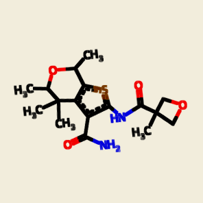 CC1OC(C)C(C)(C)c2c1sc(NC(=O)C1(C)COC1)c2C(N)=O